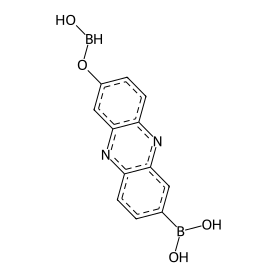 OBOc1ccc2nc3cc(B(O)O)ccc3nc2c1